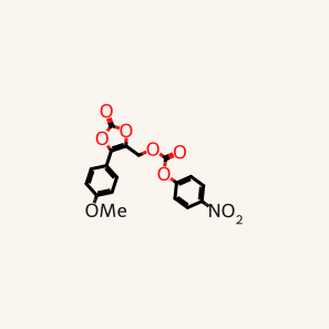 COc1ccc(-c2oc(=O)oc2COC(=O)Oc2ccc([N+](=O)[O-])cc2)cc1